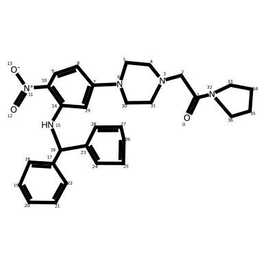 O=C(CN1CCN(c2ccc([N+](=O)[O-])c(NC(c3ccccc3)c3ccccc3)c2)CC1)N1CCCC1